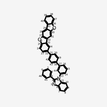 c1ccc(-c2nc3ccccc3n2-c2cccc(-c3ccc(-c4ccc5oc6cc7c(cc6c5c4)oc4ccccc47)cc3)c2)cc1